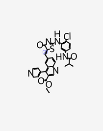 CCOC(=O)c1cnc2ccc(/C=C3\SC(Nc4cc(NC(=O)C(C)C)ccc4Cl)=NC3=O)cc2c1-c1ccncc1